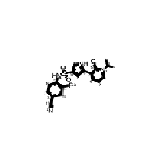 CC(C)n1cccc(-c2cc(S(=O)(=O)Nc3ccc(C#N)cc3F)c[nH]2)c1=O